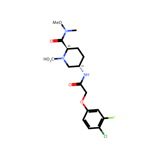 CON(C)C(=O)[C@H]1CC[C@H](NC(=O)COc2ccc(Cl)c(F)c2)CN1C(=O)O